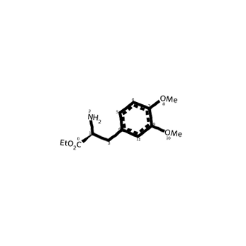 CCOC(=O)[C@@H](N)Cc1ccc(OC)c(OC)c1